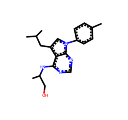 Cc1ccc(-n2cc(CC(C)C)c3c(NC(C)CO)ncnc32)cc1